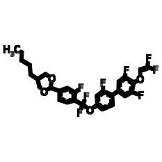 CCCCCC1COC(c2ccc(C(F)(F)Oc3ccc(-c4cc(F)c(OC=C(F)F)c(F)c4)c(F)c3)c(F)c2)OC1